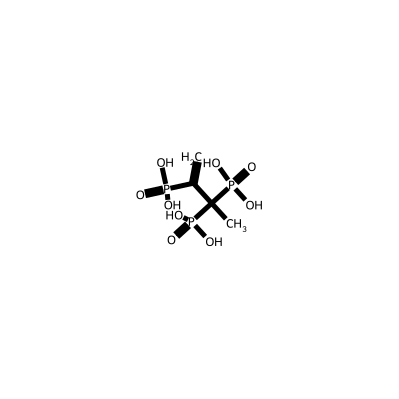 C=C(C(C)(P(=O)(O)O)P(=O)(O)O)P(=O)(O)O